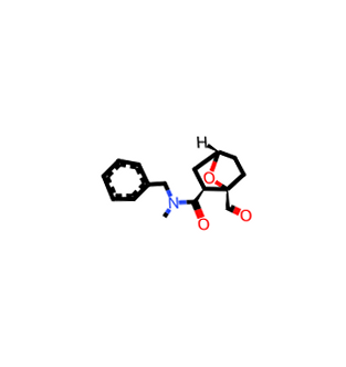 CN(Cc1ccccc1)C(=O)[C@H]1C[C@@H]2CC[C@@]1(C=O)O2